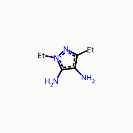 CCc1nn(CC)c(N)c1N